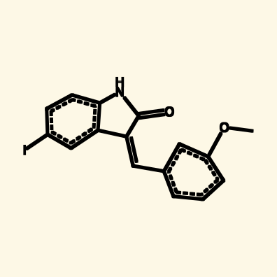 COc1cccc(C=C2C(=O)Nc3ccc(I)cc32)c1